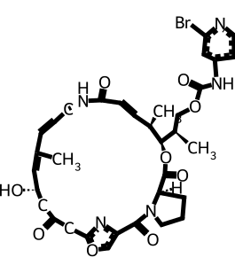 CC1=C\[C@@H](O)CC(=O)Cc2nc(co2)C(=O)N2CCC[C@@H]2C(=O)O[C@H]([C@H](C)COC(=O)Nc2ccnc(Br)c2)[C@H](C)/C=C/C(=O)NC\C=C\1